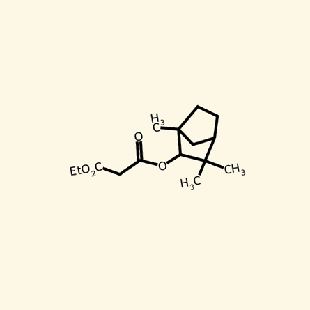 CCOC(=O)CC(=O)OC1C2(C)CCC(C2)C1(C)C